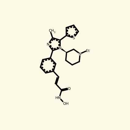 CCN1CCC[C@@H](n2c(-c3cccc(C=CC(=O)NO)c3)nc(C)c2-c2cccs2)C1